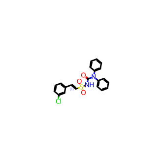 O=C(NS(=O)(=O)/C=C/c1cccc(Cl)c1)N(c1ccccc1)c1ccccc1